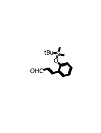 CC(C)(C)[Si](C)(C)Oc1ccccc1/C=C/[C]=O